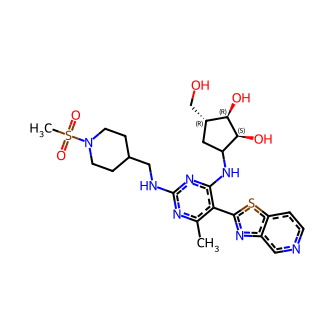 Cc1nc(NCC2CCN(S(C)(=O)=O)CC2)nc(NC2C[C@H](CO)[C@@H](O)[C@H]2O)c1-c1nc2cnccc2s1